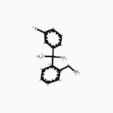 CC(C)(c1cccc(F)c1)c1ccccc1CN